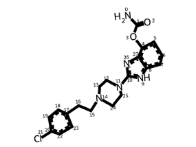 NC(=O)Oc1cccc2[nH]c(N3CCN(CCc4ccc(Cl)cc4)CC3)nc12